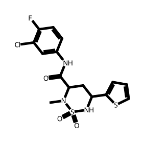 CN1C(C(=O)Nc2ccc(F)c(Cl)c2)CC(c2cccs2)NS1(=O)=O